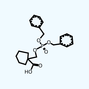 O=C(O)C1(COP(=O)(OCc2ccccc2)OCc2ccccc2)CCCCC1